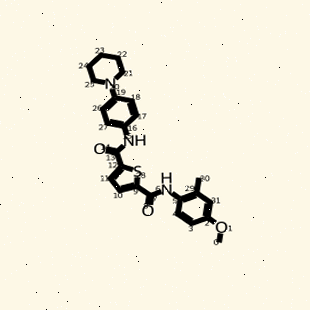 COc1ccc(NC(=O)c2ccc(C(=O)Nc3ccc(N4CCCCC4)cc3)s2)c(C)c1